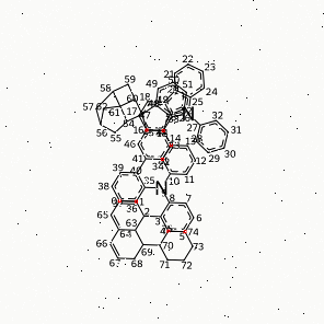 C1=CC(c2ccccc2N(c2cccc(-c3cccc4c5ccccc5n(-c5ccccc5)c34)c2)c2ccccc2-c2ccc3c(c2)C2(c4ccccc4-3)C3CC4CC5CC2C53C4)C2C(=C1)C=CCC2C1CCCCC1